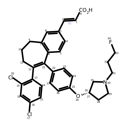 O=C(O)/C=C/c1ccc2c(c1)CCCC(c1ccc(Cl)cc1Cl)=C2c1ccc(O[C@H]2CCN(CCCF)C2)cc1